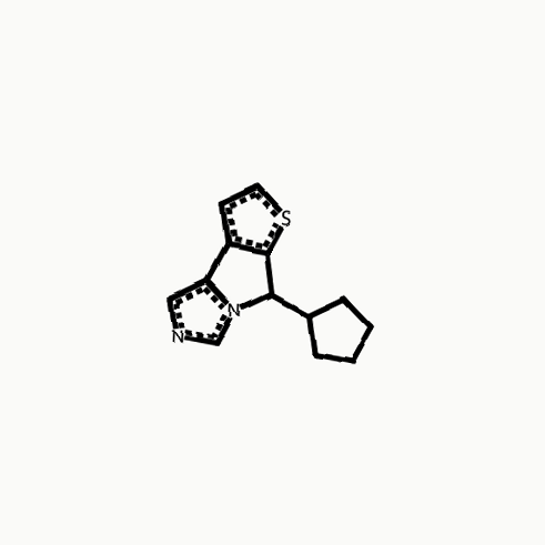 c1cc2c(s1)C(C1CCCC1)n1cncc1-2